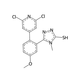 COc1ccc(-c2cc(Cl)nc(Cl)c2)c(-c2nnc(S)n2C)c1